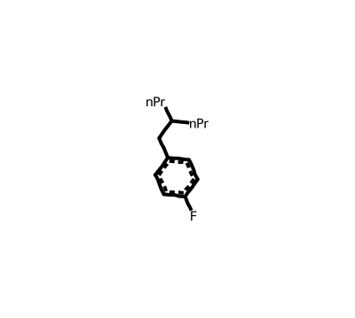 CCCC(CCC)Cc1ccc(F)cc1